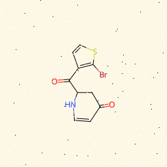 O=C1C=CNC(C(=O)c2ccsc2Br)C1